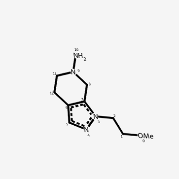 COCCn1ncc2c1CN(N)CC2